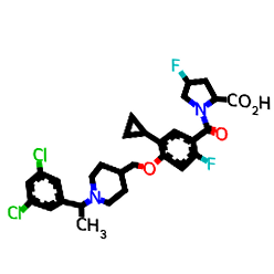 CC(c1cc(Cl)cc(Cl)c1)N1CCC(COc2cc(F)c(C(=O)N3CC(F)CC3C(=O)O)cc2C2CC2)CC1